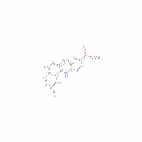 CNC(=O)c1ccc(Nc2c([N+](=O)[O-])cnc3ccc(Br)cc23)cc1